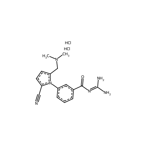 CN(C)Cc1ccc(C#N)n1-c1cccc(C(=O)N=C(N)N)c1.Cl.Cl